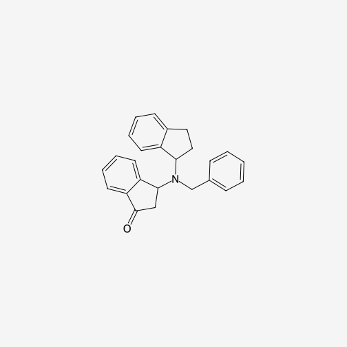 O=C1CC(N(Cc2ccccc2)C2CCc3ccccc32)c2ccccc21